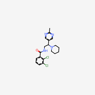 Cc1ncc(C(CNC(=O)c2cccc(Cl)c2Cl)N2CCCCC2)cn1